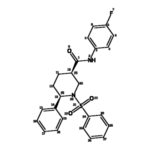 O=C(Nc1ccc(F)cc1)[C@@H]1CC[C@H](c2ccccc2)N(S(=O)(=O)c2ccccc2)C1